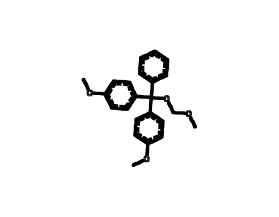 COCOC(c1ccccc1)(c1ccc(OC)cc1)c1ccc(OC)cc1